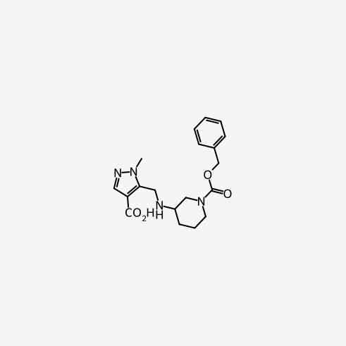 Cn1ncc(C(=O)O)c1CNC1CCCN(C(=O)OCc2ccccc2)C1